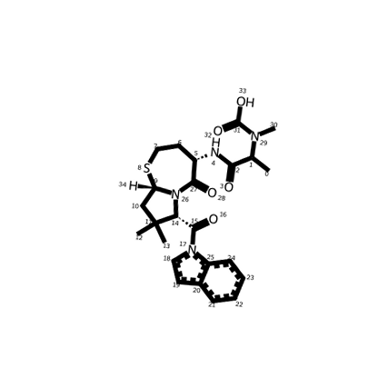 CC(C(=O)N[C@H]1CCS[C@H]2CC(C)(C)[C@@H](C(=O)n3ccc4ccccc43)N2C1=O)N(C)C(=O)O